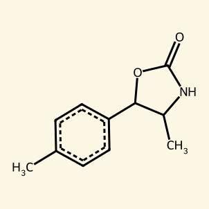 Cc1ccc(C2OC(=O)NC2C)cc1